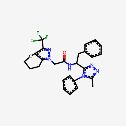 Cc1nnc(C(Cc2ccccc2)NC(=O)Cn2nc(C(F)(F)F)c3c2CCCC3)n1-c1ccccc1